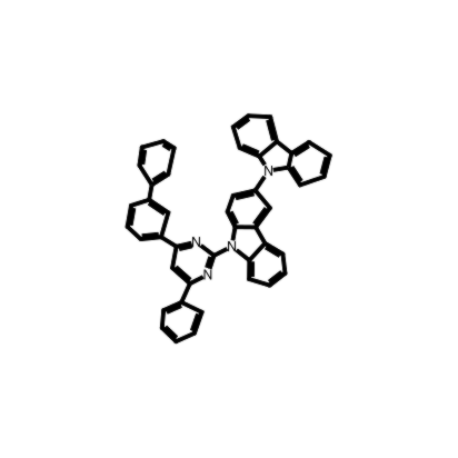 c1ccc(-c2cccc(-c3cc(-c4ccccc4)nc(-n4c5ccccc5c5cc(-n6c7ccccc7c7ccccc76)ccc54)n3)c2)cc1